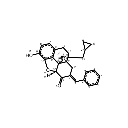 O=C1/C(=C/c2ccccc2)CC2(O)C3Cc4ccc(O)c5c4C2(CCN3CC2CC2)[C@H]1O5